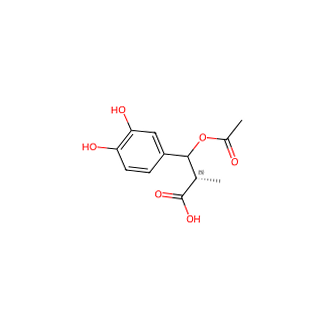 CC(=O)OC(c1ccc(O)c(O)c1)[C@H](C)C(=O)O